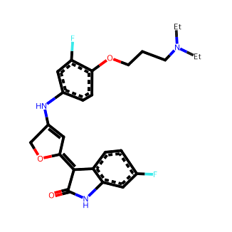 CCN(CC)CCCOc1ccc(NC2=CC(=C3C(=O)Nc4cc(F)ccc43)OC2)cc1F